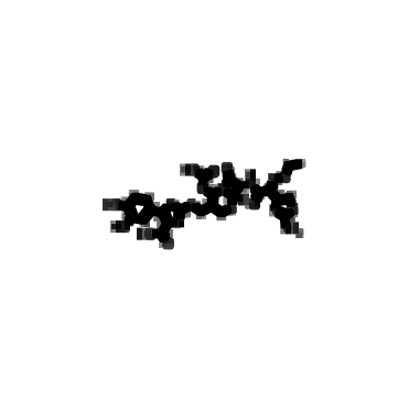 CCON=C(C(=O)N[C@@H]1C(=O)N2C(OC(=O)O)=C(CSc3nc(C(=O)O)c(-c4ccc(O)c(O)c4)s3)CS[C@@H]12)c1csc(N)n1